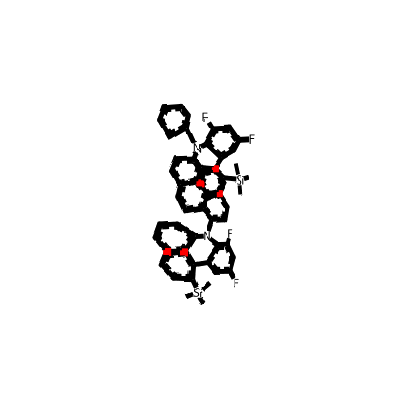 C[Si](C)(C)c1ccccc1-c1cc(F)cc(F)c1N(c1ccccc1)c1ccc2ccc3c(N(c4ccccc4)c4c(F)cc(F)cc4-c4ccccc4[Si](C)(C)C)ccc4ccc1c2c43